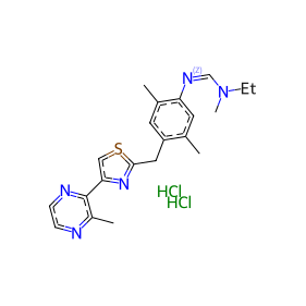 CCN(C)/C=N\c1cc(C)c(Cc2nc(-c3nccnc3C)cs2)cc1C.Cl.Cl